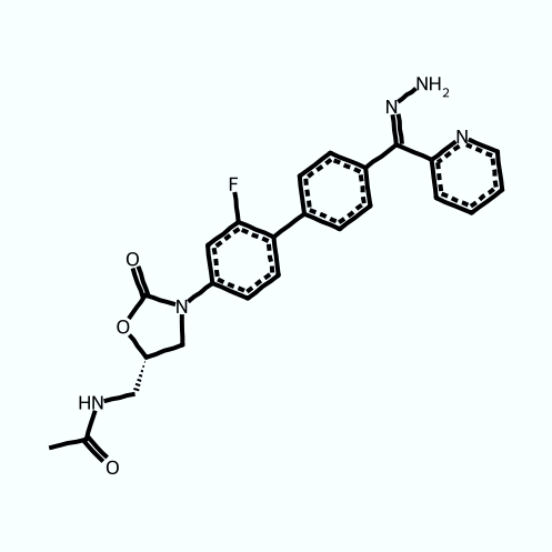 CC(=O)NC[C@H]1CN(c2ccc(-c3ccc(C(=NN)c4ccccn4)cc3)c(F)c2)C(=O)O1